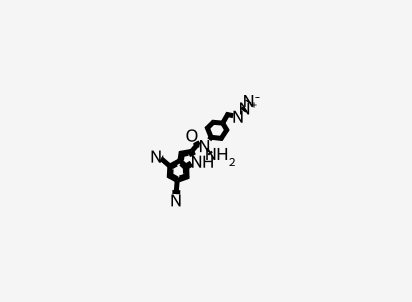 N#Cc1cc(C#N)c2cc(C(=O)N(N)C3CCC(CN=[N+]=[N-])CC3)[nH]c2c1